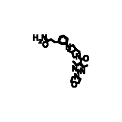 Cc1nc(N2CCOCC2)nc(C)c1C(=O)N1CC2CN(c3cccc(CCC(N)=O)c3)CC2C1